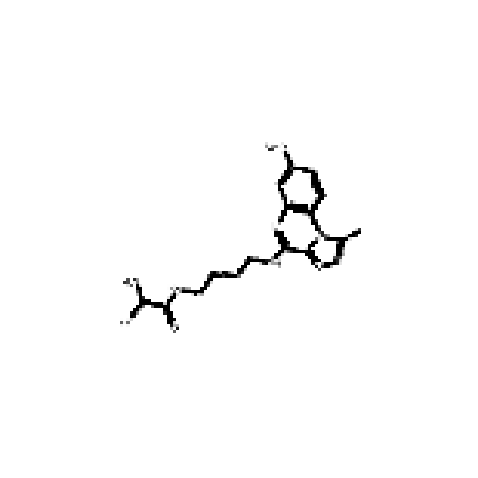 COc1ccc2c(c1)nc(NCCCCNC(=O)C(N)C(C)C)c1nnc(C)n12